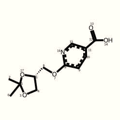 CC1(C)OC[C@@H](COc2ccc(C(=O)O)cn2)O1